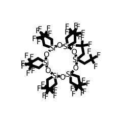 FC(F)(F)C[Si]1(CC(F)(F)F)O[Si](CC(F)(F)F)(CC(F)(F)F)O[Si](CC(F)(F)F)(CC(F)(F)F)O[Si](CC(F)(F)F)(CC(F)(F)F)O[Si](CC(F)(F)F)(CC(F)(F)F)O[Si](CC(F)(F)F)(CC(F)(F)F)O1